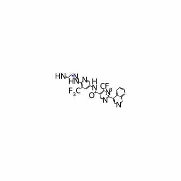 N=C/C=N\Nc1ncc(NC(=O)c2cnc(-c3cncc4ccccc34)nc2C(F)(F)F)cc1C(F)(F)F